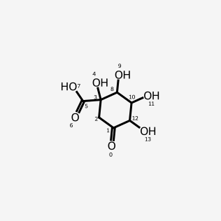 O=C1CC(O)(C(=O)O)C(O)C(O)C1O